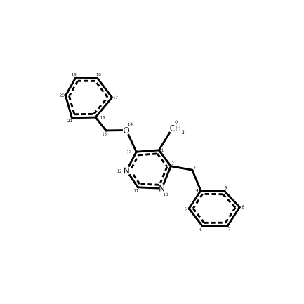 Cc1c(Cc2ccccc2)ncnc1OCc1ccccc1